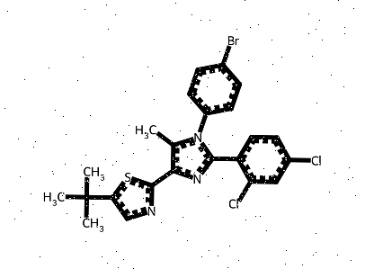 Cc1c(-c2ncc(C(C)(C)C)s2)nc(-c2ccc(Cl)cc2Cl)n1-c1ccc(Br)cc1